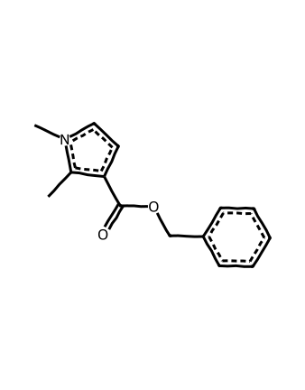 Cc1c(C(=O)OCc2ccccc2)ccn1C